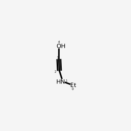 CCNC#CO